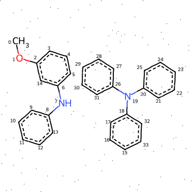 COc1cccc(Nc2ccccc2)c1.c1ccc(N(c2ccccc2)c2ccccc2)cc1